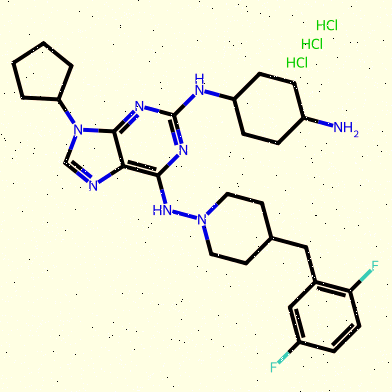 Cl.Cl.Cl.NC1CCC(Nc2nc(NN3CCC(Cc4cc(F)ccc4F)CC3)c3ncn(C4CCCC4)c3n2)CC1